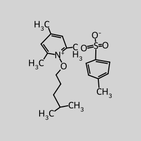 Cc1cc(C)[n+](OCCCC(C)C)c(C)c1.Cc1ccc(S(=O)(=O)[O-])cc1